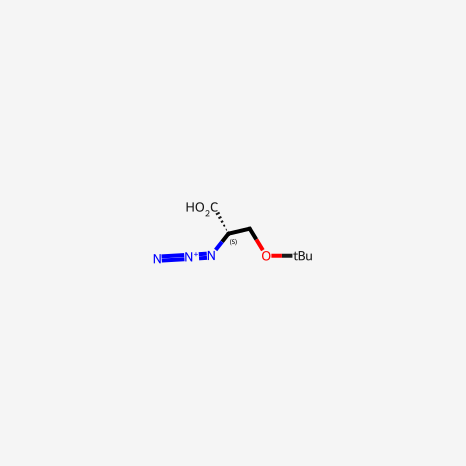 CC(C)(C)OC[C@H](N=[N+]=[N-])C(=O)O